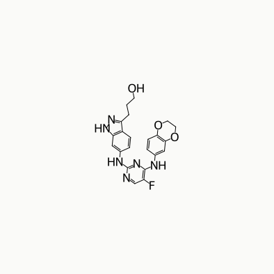 OCCCc1n[nH]c2cc(Nc3ncc(F)c(Nc4ccc5c(c4)OCCO5)n3)ccc12